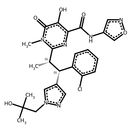 C[C@H](c1nc(C(=O)Nc2cnoc2)c(O)c(=O)n1C)[C@@H](c1cnn(CC(C)(C)O)c1)c1ccccc1Cl